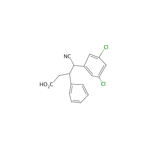 N#CC(c1cc(Cl)cc(Cl)c1)C(CC(=O)O)c1ccccc1